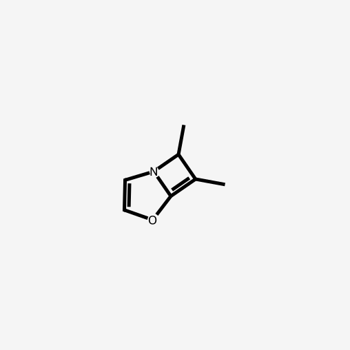 CC1=C2OC=CN2C1C